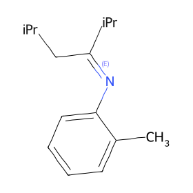 Cc1ccccc1/N=C(\CC(C)C)C(C)C